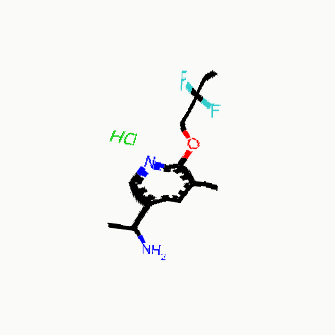 Cc1cc(C(C)N)cnc1OCC(C)(F)F.Cl